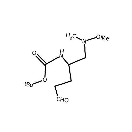 CON(C)CC(CCC=O)NC(=O)OC(C)(C)C